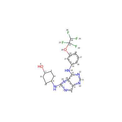 OC1CCC(Nc2ncc3ncnc(Nc4cccc(OC(F)(F)C(F)F)c4)c3n2)CC1